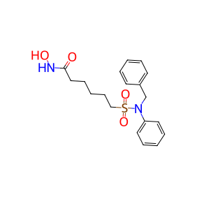 O=C(CCCCCS(=O)(=O)N(Cc1ccccc1)c1ccccc1)NO